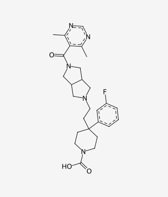 Cc1ncnc(C)c1C(=O)N1CC2CN(CCC3(c4cccc(F)c4)CCN(C(=O)O)CC3)CC2C1